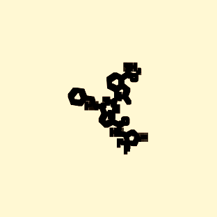 Cc1cc2c(C(N)=O)cccc2n1-c1nc(NCc2ccccc2)c2ccc(C(=O)NC3CNCC3(F)F)n2n1